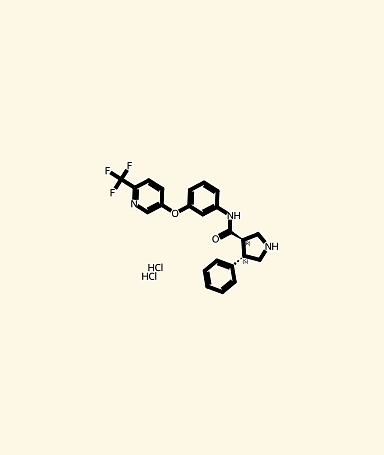 Cl.Cl.O=C(Nc1cccc(Oc2ccc(C(F)(F)F)nc2)c1)[C@H]1CNC[C@@H]1c1ccccc1